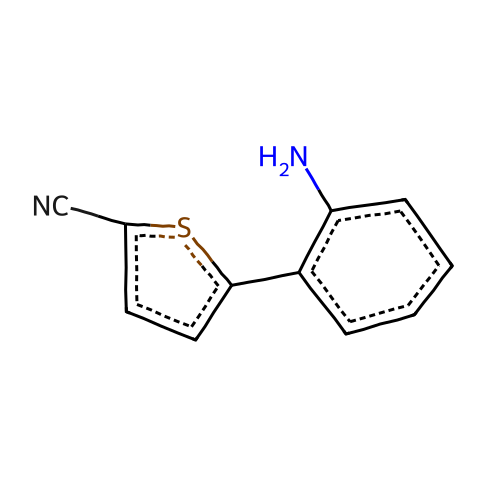 N#Cc1ccc(-c2ccccc2N)s1